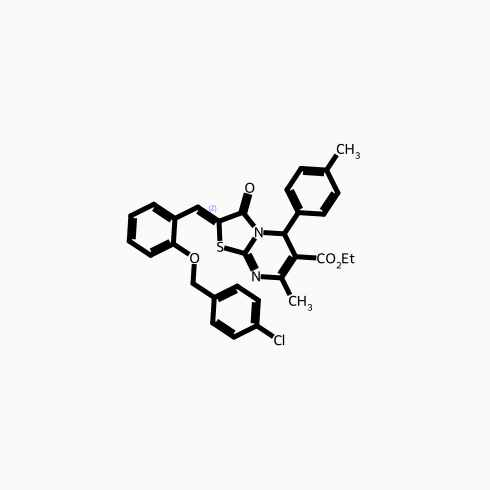 CCOC(=O)C1=C(C)N=c2s/c(=C\c3ccccc3OCc3ccc(Cl)cc3)c(=O)n2C1c1ccc(C)cc1